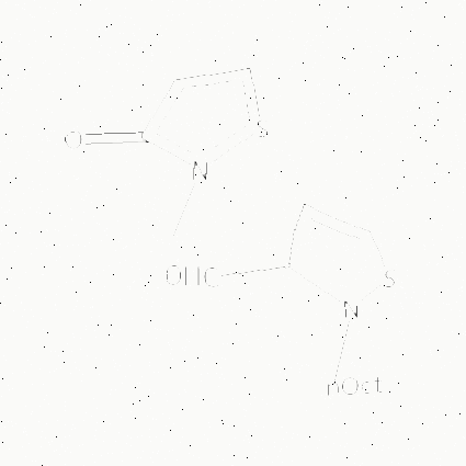 CCCCCCCCN1SC=CC1C=O.Cn1sccc1=O